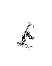 CCOC(Cc1ccc(OCCN(CCCCCCC(F)(F)F)C(=O)Oc2ccc(F)cc2)cc1)C(=O)O